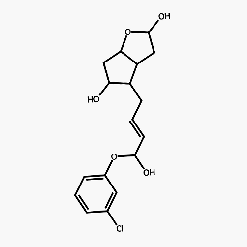 OC(C=CCC1C(O)CC2OC(O)CC21)Oc1cccc(Cl)c1